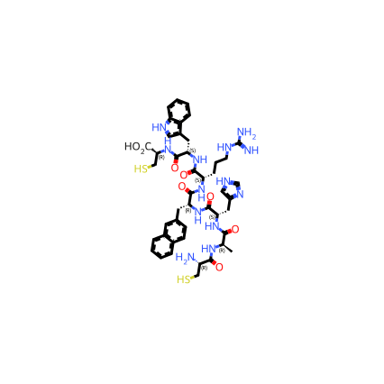 C[C@@H](NC(=O)[C@@H](N)CS)C(=O)N[C@@H](Cc1c[nH]cn1)C(=O)N[C@H](Cc1ccc2ccccc2c1)C(=O)N[C@@H](CCCNC(=N)N)C(=O)N[C@@H](Cc1c[nH]c2ccccc12)C(=O)N[C@@H](CS)C(=O)O